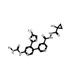 CCNC(=O)Nc1cc(-c2nc(C(F)(F)F)cs2)c(-c2cncc(C(=O)NNC(=O)C3(O)CC3)c2)cn1